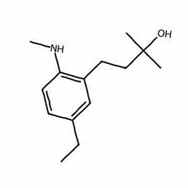 CCc1ccc(NC)c(CCC(C)(C)O)c1